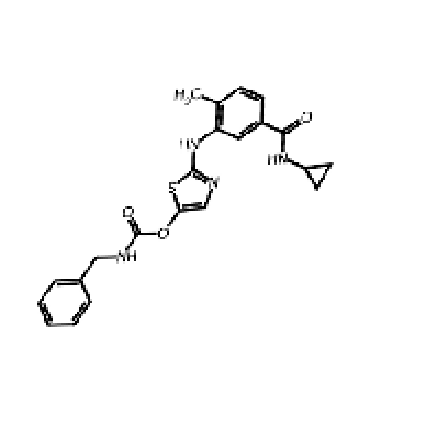 Cc1ccc(C(=O)NC2CC2)cc1Nc1ncc(OC(=O)NCc2ccccc2)s1